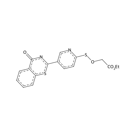 CCOC(=O)COSc1ccc(-c2nc(=O)c3ccccc3s2)cn1